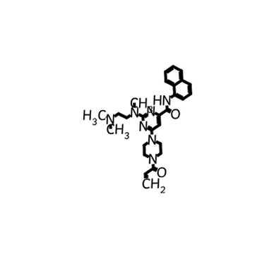 C=CC(=O)N1CCN(c2cc(C(=O)Nc3cccc4ccccc34)nc(N(C)CCN(C)C)n2)CC1